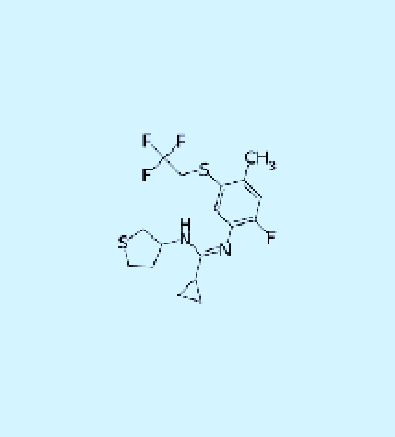 Cc1cc(F)c(/N=C(\NC2CCSC2)C2CC2)cc1SCC(F)(F)F